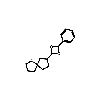 c1ccc(C2OC(C3CCC4(CCCO4)C3)O2)cc1